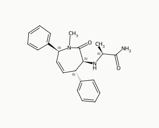 C[C@H](N[C@@H]1C(=O)N(C)[C@H](c2ccccc2)C=C[C@H]1c1ccccc1)C(N)=O